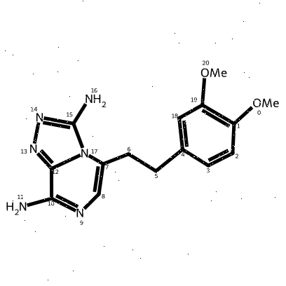 COc1ccc(CCc2cnc(N)c3nnc(N)n23)cc1OC